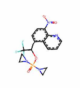 O=[N+]([O-])c1ccc(C(OP(=O)(N2CC2)N2CC2)C(F)(F)F)c2cccnc12